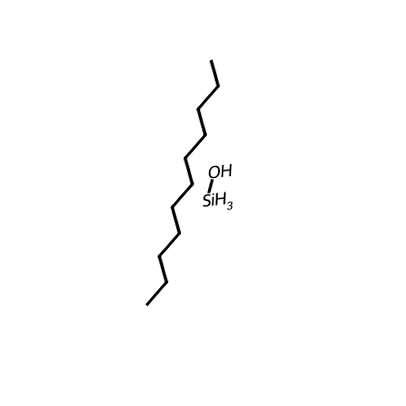 CCCCCCCCCCC.O[SiH3]